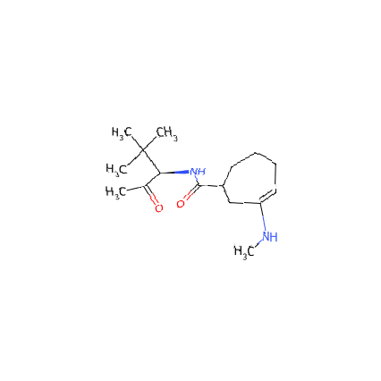 CNC1=CCCCC(C(=O)N[C@@H](C(C)=O)C(C)(C)C)C1